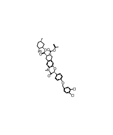 C=C(C)OC(=O)N1Cc2cc3c(cc2C[C@H]1C(=O)O[C@@H]1C[C@H](C)CC[C@H]1C(C)C)N(C)C(=O)[C@H](c1ccc(OCc2ccc(Cl)c(Cl)c2)cc1)O3